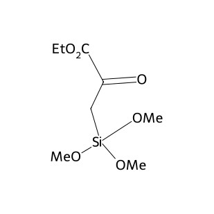 CCOC(=O)C(=O)C[Si](OC)(OC)OC